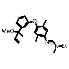 C=CC(C)(OC)c1cccc(Oc2cc(C)c(/N=C/N(C)CC)cc2C)c1